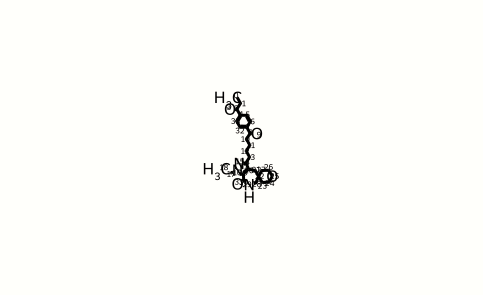 CCC(=O)c1ccc(C(=O)CCCCc2nn(CC)c3c2CC2(CCOCC2)CNC3=O)cc1